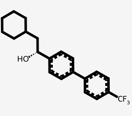 O[C@H](CC1CCCCC1)c1ccc(-c2ccc(C(F)(F)F)cc2)cc1